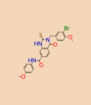 COc1ccc(NC(=O)c2ccc3c(=O)n(Cc4ccc(OC)c(Br)c4)c(=S)[nH]c3c2)cc1